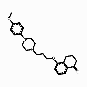 COc1ccc(N2CCN(CCCOc3cccc4c3CCCC4=O)CC2)cc1